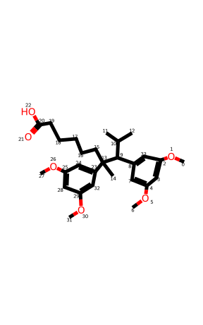 COc1cc(OC)cc(C(C(C)C)C(C)(CCCCCC(=O)O)c2cc(OC)cc(OC)c2)c1